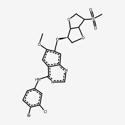 COc1cc2c(Nc3ccc(Br)c(Cl)c3)ncnc2cc1O[C@@H]1COC2C1OCC2S(C)(=O)=O